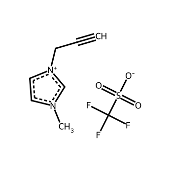 C#CC[n+]1ccn(C)c1.O=S(=O)([O-])C(F)(F)F